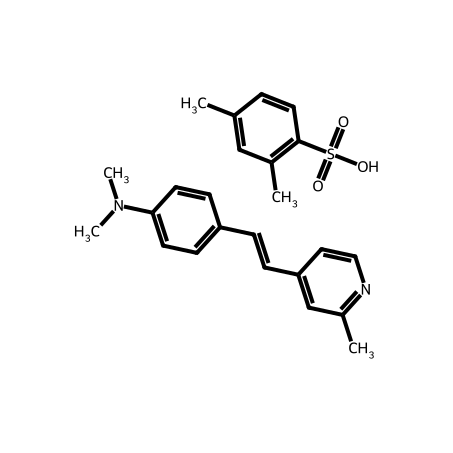 Cc1cc(C=Cc2ccc(N(C)C)cc2)ccn1.Cc1ccc(S(=O)(=O)O)c(C)c1